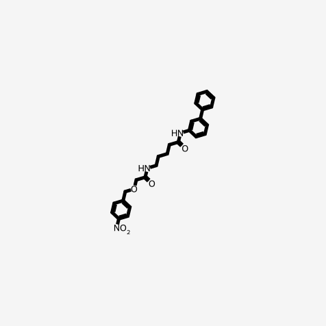 O=C(COCc1ccc([N+](=O)[O-])cc1)NCCCCC(=O)Nc1cccc(-c2ccccc2)c1